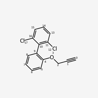 C#CCOc1[c]cccc1-c1c(Cl)cccc1Cl